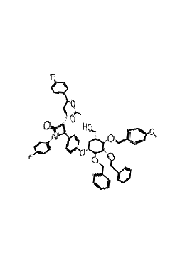 COc1ccc(CO[C@@H]2[C@@H](CO)C[C@@H](Oc3ccc([C@@H]4[C@@H](CCC(OC(C)=O)c5ccc(F)cc5)C(=O)N4c4ccc(F)cc4)cc3)[C@H](OCc3ccccc3)[C@H]2OCc2ccccc2)cc1